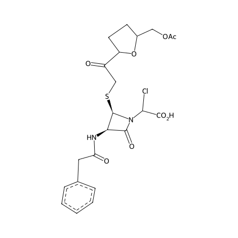 CC(=O)OCC1CCC(C(=O)CS[C@@H]2[C@H](NC(=O)Cc3ccccc3)C(=O)N2C(Cl)C(=O)O)O1